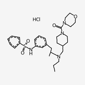 CCCN(CC1CCN(C(=O)N2CCOCC2)CC1)C(C)Cc1cccc(NS(=O)(=O)c2ccccc2)c1.Cl